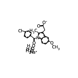 COc1ccc2c(c1)c(CC(=O)[O-])c(C)n2C(=O)c1ccc(Cl)cc1.O.O.O.[Na+]